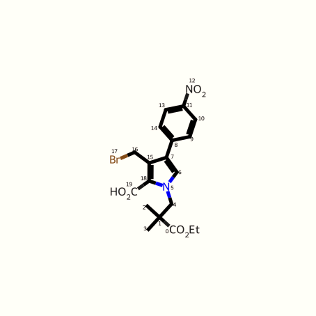 CCOC(=O)C(C)(C)Cn1cc(-c2ccc([N+](=O)[O-])cc2)c(CBr)c1C(=O)O